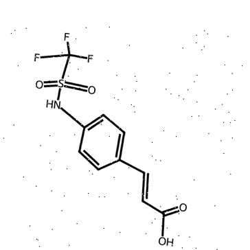 O=C(O)C=Cc1ccc(NS(=O)(=O)C(F)(F)F)cc1